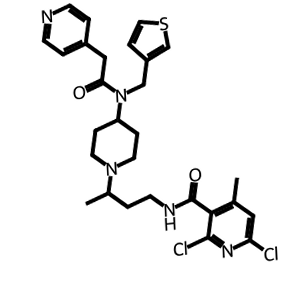 Cc1cc(Cl)nc(Cl)c1C(=O)NCCC(C)N1CCC(N(Cc2ccsc2)C(=O)Cc2ccncc2)CC1